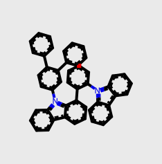 c1ccc(-c2ccc(-n3c4ccccc4c4cccc(-c5ccccc5-n5c6ccccc6c6ccccc65)c43)cc2-c2ccccc2)cc1